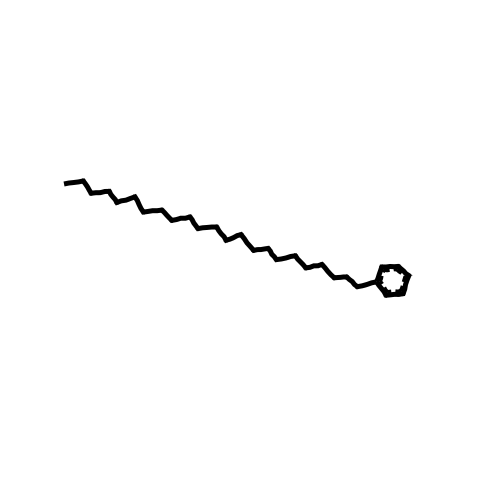 CCCCCCCCCCCCCCCCCCCCCCCc1cc[c]cc1